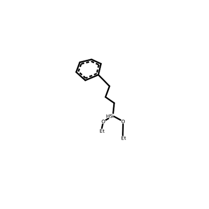 CCO[SiH](CCCc1ccccc1)OCC